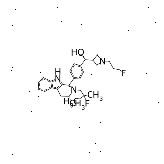 C[C@@H]1Cc2c([nH]c3ccccc23)C(c2ccc([C@@H](O)C3CN(CCCF)C3)cc2)N1CC(C)(C)F